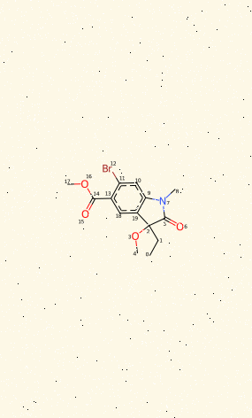 CCC1(OC)C(=O)N(C)c2cc(Br)c(C(=O)OC)cc21